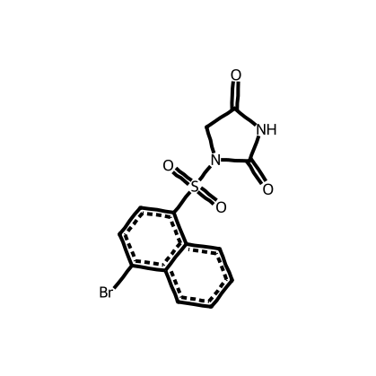 O=C1CN(S(=O)(=O)c2ccc(Br)c3ccccc23)C(=O)N1